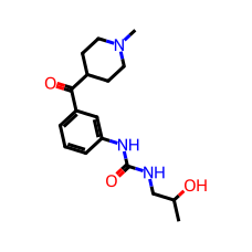 CC(O)CNC(=O)Nc1cccc(C(=O)C2CCN(C)CC2)c1